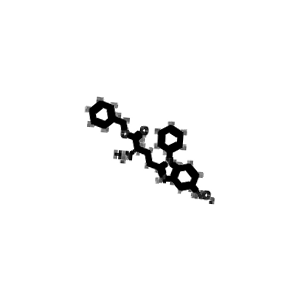 N[C@@H](CCc1nc2cc([N+](=O)[O-])ccc2n1-c1ccccc1)C(=O)OCc1ccccc1